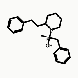 C[C@](O)(Cc1ccccc1)N1CCCCC1CCc1ccccc1